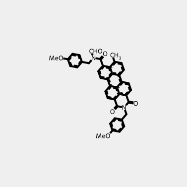 COc1ccc(CN(C=O)C(=O)c2ccc3c4ccc5c6c(ccc(c7ccc(C)c2c73)c64)C(=O)N(Cc2ccc(OC)cc2)C5=O)cc1